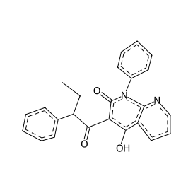 CCC(C(=O)c1c(O)c2cccnc2n(-c2ccccc2)c1=O)c1ccccc1